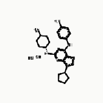 Cl.Cl.Nc1ccc(Nc2nc(N[C@H]3CC[C@H](N)CC3)nc3c2ncn3C2CCCC2)cc1